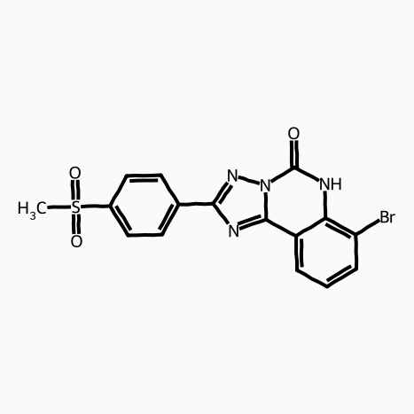 CS(=O)(=O)c1ccc(-c2nc3c4cccc(Br)c4[nH]c(=O)n3n2)cc1